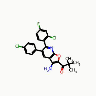 CC(C)(C)C(=O)c1oc2nc(-c3ccc(F)cc3Cl)c(-c3ccc(Cl)cc3)cc2c1N